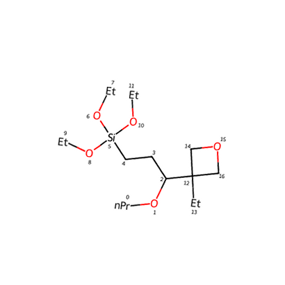 CCCOC(CC[Si](OCC)(OCC)OCC)C1(CC)COC1